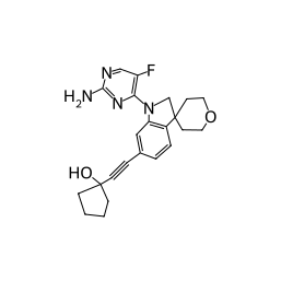 Nc1ncc(F)c(N2CC3(CCOCC3)c3ccc(C#CC4(O)CCCC4)cc32)n1